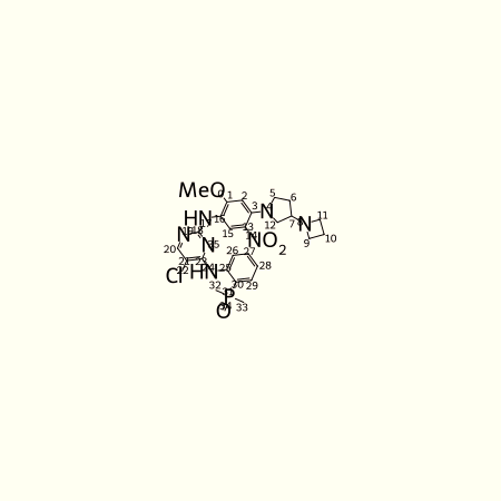 COc1cc(N2CCC(N3CCC3)C2)c([N+](=O)[O-])cc1Nc1ncc(Cl)c(Nc2ccccc2P(C)(C)=O)n1